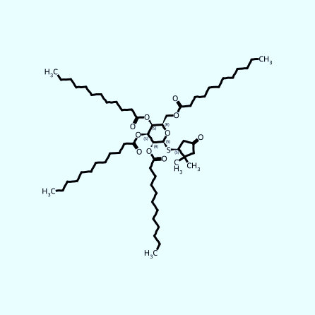 CCCCCCCCCCCC(=O)OC[C@H]1O[C@@H](S[C@H]2CC(=O)CC2(C)C)[C@H](OC(=O)CCCCCCCCCCC)[C@@H](OC(=O)CCCCCCCCCCC)[C@H]1OC(=O)CCCCCCCCCCC